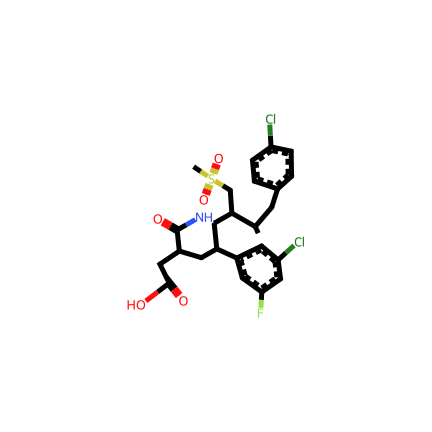 CC(Cc1ccc(Cl)cc1)C(CS(C)(=O)=O)C1NC(=O)C(CC(=O)O)CC1c1cc(F)cc(Cl)c1